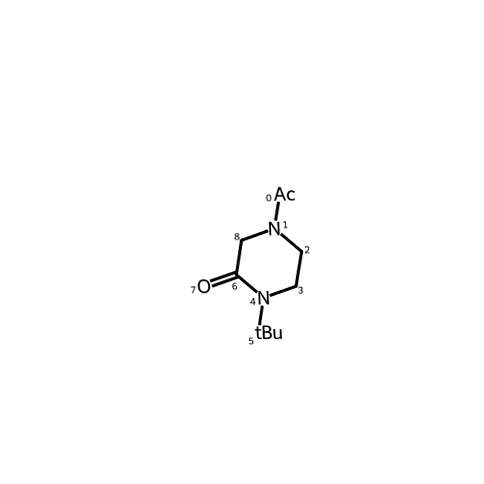 CC(=O)N1CCN(C(C)(C)C)C(=O)C1